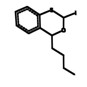 CCCCC1OC(I)Sc2ccccc21